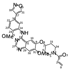 C=CC(=O)N1CCC(Oc2cc3c(Nc4cc(-c5cnoc5)ccc4OC)ncnc3cc2OC)CC1